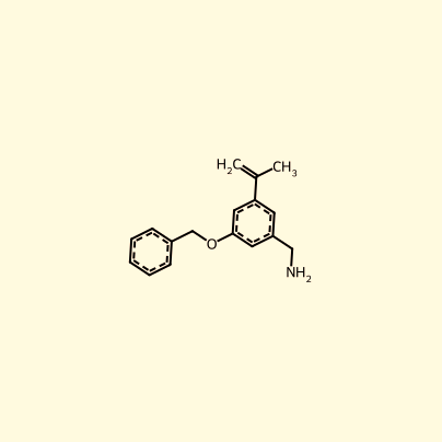 C=C(C)c1cc(CN)cc(OCc2ccccc2)c1